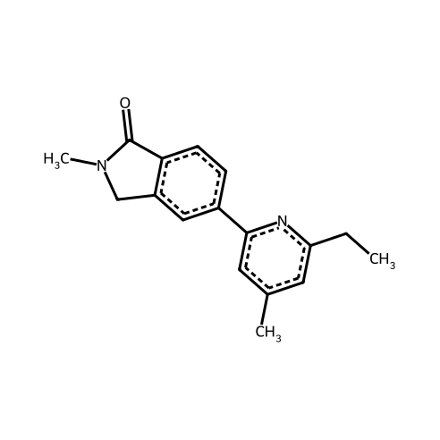 CCc1cc(C)cc(-c2ccc3c(c2)CN(C)C3=O)n1